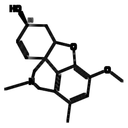 COc1cc(C)c2c3c1OC1C[C@H](O)C=CC31CN(C)C2